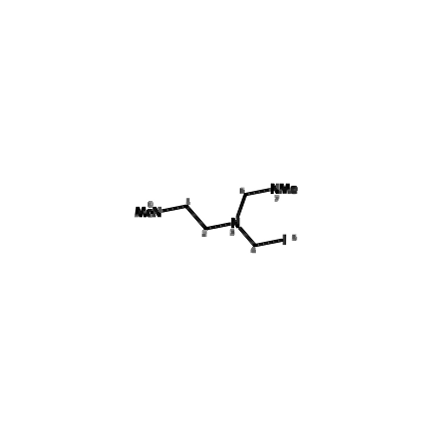 CNCCN(CI)CNC